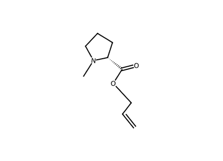 C=CCOC(=O)[C@H]1CCCN1C